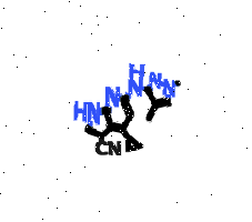 Cc1cn(C)nc1Nc1cc(C2CC2)c2c(C#N)c[nH]c2n1